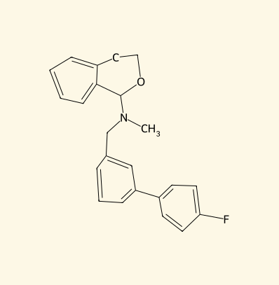 CN(Cc1cccc(-c2ccc(F)cc2)c1)C1OCCc2ccccc21